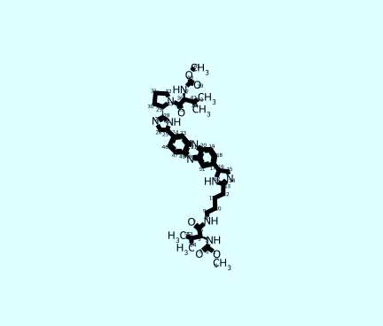 COC(=O)N[C@H](C(=O)NCCCCC1=NCC(c2ccc3nc4cc(C5CN=C([C@@H]6CCCN6C(=O)[C@@H](NC(=O)OC)C(C)C)N5)ccc4nc3c2)N1)C(C)C